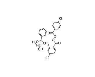 CC(C)c1ccccc1.O=C(OOC(=O)c1ccc(Cl)cc1)c1ccc(Cl)cc1.OO